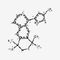 CC1(C)CCC(C)(C)c2cc3c(-c4cc(C(F)(F)F)n[nH]4)nccc3cc21